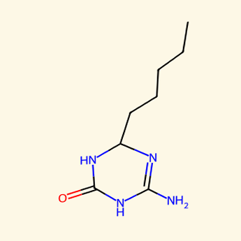 CCCCCC1N=C(N)NC(=O)N1